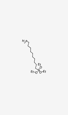 CCO[Si](CCCCCCCCCCP)(OCC)OCC